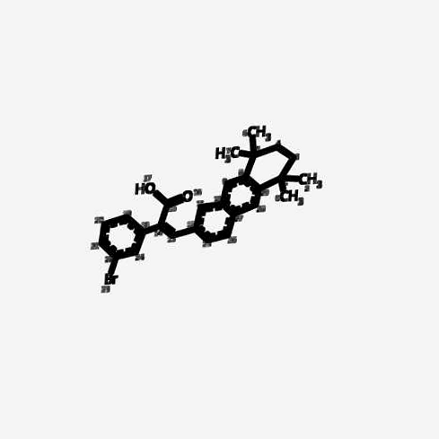 CC1(C)CCC(C)(C)c2cc3cc(C=C(C(=O)O)c4cccc(Br)c4)ccc3cc21